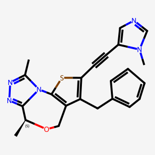 Cc1nnc2n1-c1sc(C#Cc3cncn3C)c(Cc3ccccc3)c1CO[C@H]2C